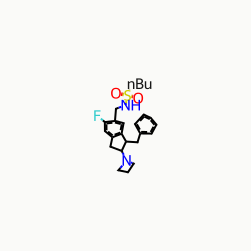 CCCCS(=O)(=O)NCc1cc2c(cc1F)CC(N1CCC1)C2Cc1ccccc1